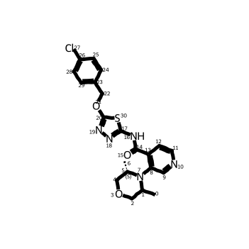 CC1COC[C@H](C)N1c1cnccc1C(=O)Nc1nnc(OCc2ccc(Cl)cc2)s1